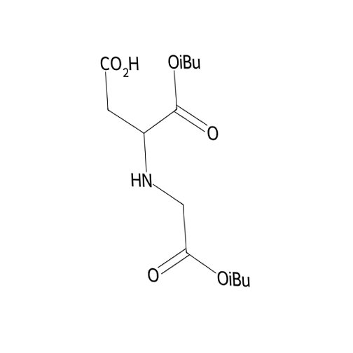 CC(C)COC(=O)CNC(CC(=O)O)C(=O)OCC(C)C